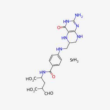 Nc1nc2c(c(=O)[nH]1)NC(CNc1ccc(C(=O)NC(CC(C=O)C(=O)O)C(=O)O)cc1)CN2.[SrH2]